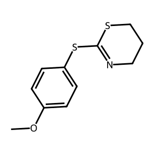 COc1ccc(SC2=NCCCS2)cc1